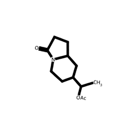 CC(=O)OC(C)C1CCN2C(=O)CCC2C1